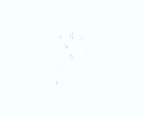 COC(CO)CCn1cc(F)c2c(=O)[nH]c(Cl)nc21